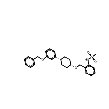 CS(=O)(=O)Nc1cccnc1CO[C@H]1CC[C@@H](c2cccc(OCc3ccccc3)c2)CC1